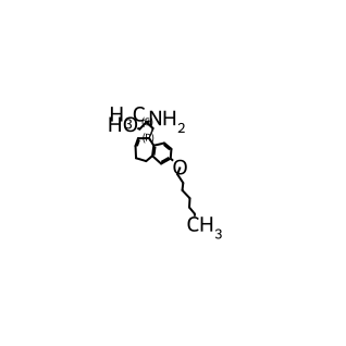 CCCCCCCOc1ccc2c(c1)CCC=C[C@H]2C[C@](C)(N)CO